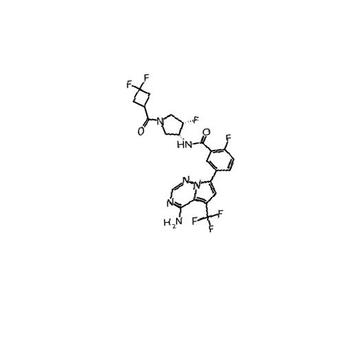 Nc1ncnn2c(-c3ccc(F)c(C(=O)N[C@@H]4CN(C(=O)C5CC(F)(F)C5)C[C@@H]4F)c3)cc(C(F)(F)F)c12